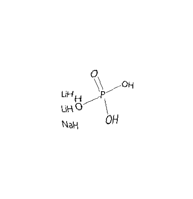 O=P(O)(O)O.[LiH].[LiH].[NaH]